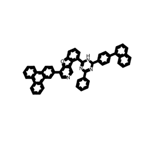 c1ccc(C2=NC(c3ccc(-c4cccc5ccccc45)cc3)NC(c3cccc4oc5c(-c6ccc7c8ccccc8c8ccccc8c7c6)cncc5c34)=N2)cc1